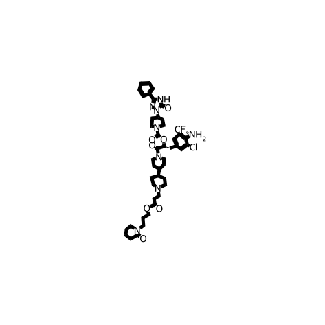 Nc1c(Cl)cc(C[C@@H](OC(=O)N2CCC(n3nc(-c4ccccc4)[nH]c3=O)CC2)C(=O)N2CCC(C3CCN(CCC(=O)OCCCN4CCCCC4=O)CC3)CC2)cc1C(F)(F)F